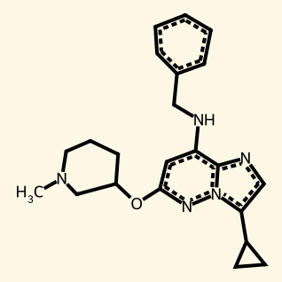 CN1CCCC(Oc2cc(NCc3ccccc3)c3ncc(C4CC4)n3n2)C1